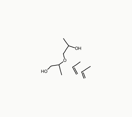 C=CC.C=CC.CC(O)COC(C)CO